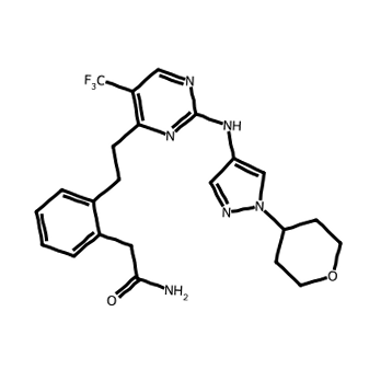 NC(=O)Cc1ccccc1CCc1nc(Nc2cnn(C3CCOCC3)c2)ncc1C(F)(F)F